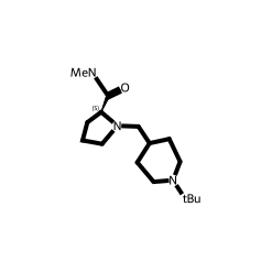 CNC(=O)[C@@H]1CCCN1CC1CCN(C(C)(C)C)CC1